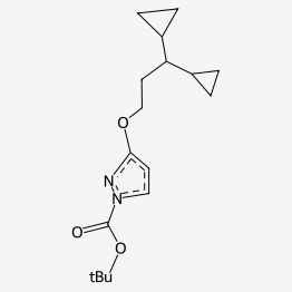 CC(C)(C)OC(=O)n1ccc(OCCC(C2CC2)C2CC2)n1